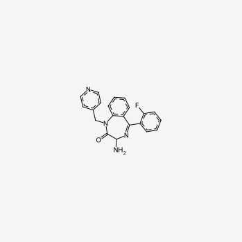 NC1N=C(c2ccccc2F)c2ccccc2N(Cc2ccncc2)C1=O